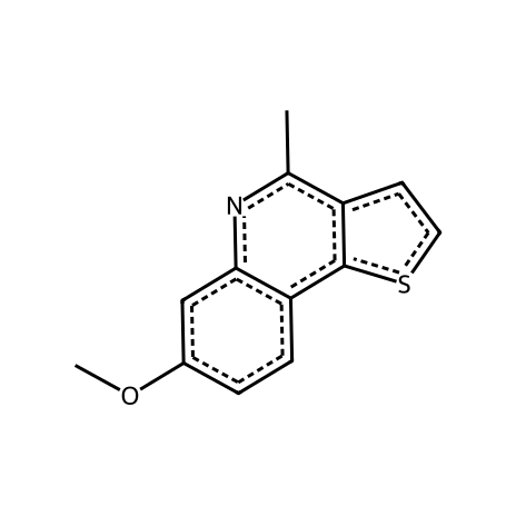 COc1ccc2c(c1)nc(C)c1ccsc12